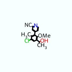 COc1c(C(C)O)cc(Cl)c(C)c1-c1ccnc(C#N)c1